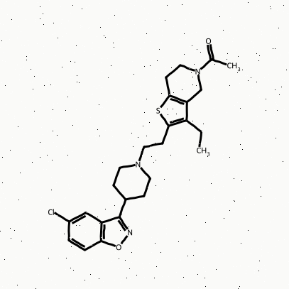 CCc1c(CCN2CCC(c3noc4ccc(Cl)cc34)CC2)sc2c1CN(C(C)=O)CC2